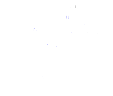 CC1N=C2N(C)C(=S)c3c(nn(CC4CCN(C)C4)c3Nc3ccccc3)N2C1C